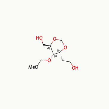 COCO[C@@H]1[C@@H](CO)OCO[C@@H]1CCO